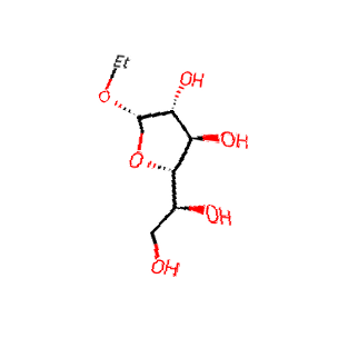 CCO[C@H]1O[C@@H]([C@@H](O)CO)[C@H](O)[C@H]1O